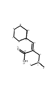 CN(C)CC(=CC1CCCCC1)C(=O)O